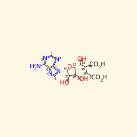 Nc1ncnc2c1ncn2[C@@H]1O[C@H](C(O)C(CC(=O)O)C(=O)O)[C@@H](O)[C@H]1O